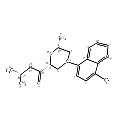 C[C@@H]1CN(c2ccc(C#N)c3ncccc23)C[C@H](C(=O)N[C@H](C)C(F)(F)F)O1